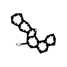 Bc1cc2ccc3ccccc3c2c2sc3cc4ccccc4cc3c12